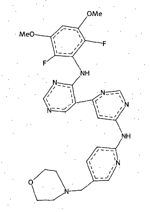 COc1cc(OC)c(F)c(Nc2ncncc2-c2cc(Nc3ccc(CN4CCOCC4)cn3)ncn2)c1F